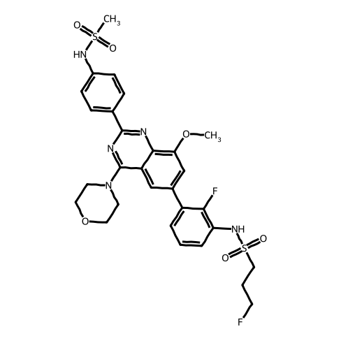 COc1cc(-c2cccc(NS(=O)(=O)CCCF)c2F)cc2c(N3CCOCC3)nc(-c3ccc(NS(C)(=O)=O)cc3)nc12